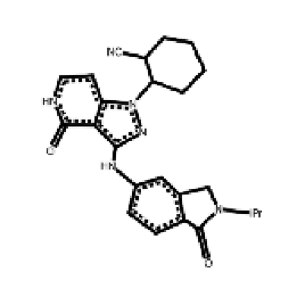 CC(C)N1Cc2cc(Nc3nn(C4CCCCC4C#N)c4cc[nH]c(=O)c34)ccc2C1=O